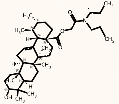 CCCN(CCC)C(=O)COC(=O)[C@]12CC[C@@H](C)[C@H](C)[C@H]1C1=CC[C@@H]3[C@@]4(C)CC[C@H](O)C(C)(C)[C@@H]4CC[C@@]3(C)[C@]1(C)CC2